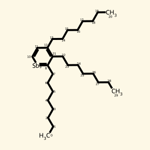 CCCCCCCC[C]1=[Sb][CH]=CC(CCCCCCCC)=C1CCCCCCCC